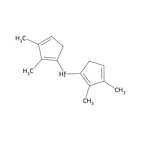 CC1=CC[C]([Hf][C]2=C(C)C(C)=CC2)=C1C